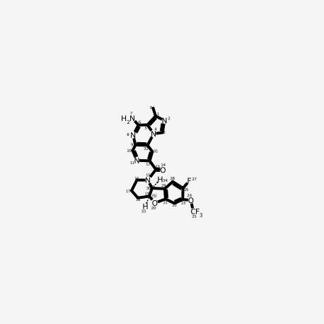 Cc1ncn2c1c(N)nc1cnc(C(=O)N3CCC[C@@H]4Oc5cc(OC(F)(F)F)c(F)cc5[C@@H]43)cc12